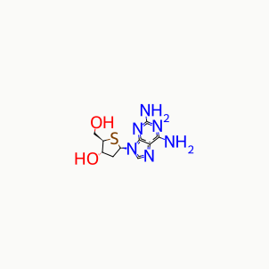 Nc1nc(N)c2ncn([C@H]3C[C@H](O)[C@@H](CO)S3)c2n1